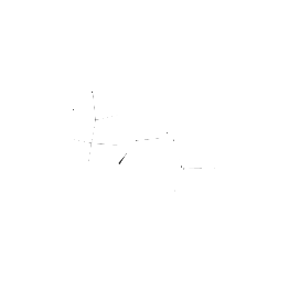 C#C[C@@H](CC1(C(F)(F)F)CC1)NC(=O)O